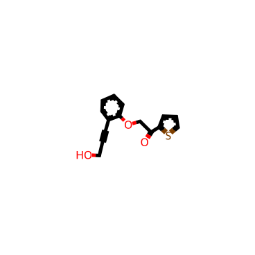 O=C(COc1ccccc1C#CCO)c1cccs1